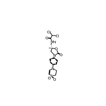 O=C(NC[C@H]1CN(c2ccc(N3C=CS(=O)(=O)CC3)cc2)C(=O)O1)C(Cl)Cl